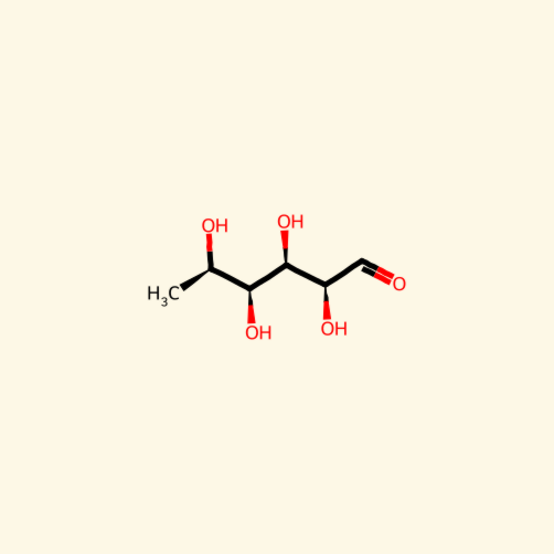 C[C@@H](O)[C@H](O)[C@@H](O)[C@H](O)C=O